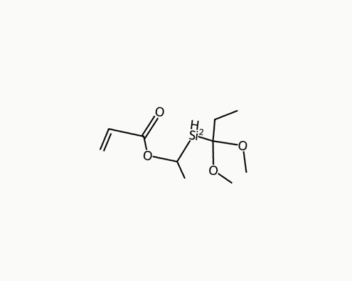 C=CC(=O)OC(C)[SiH2]C(CC)(OC)OC